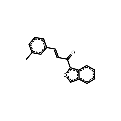 Cc1cccc(C=CC(=O)c2occ3ccccc23)c1